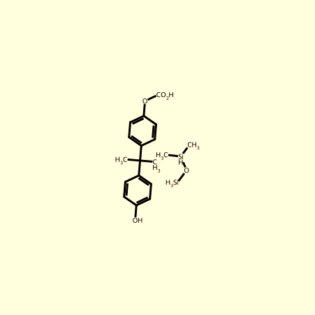 CC(C)(c1ccc(O)cc1)c1ccc(OC(=O)O)cc1.C[SiH](C)O[SiH3]